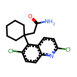 NC(=O)CC1(c2c(Cl)ccc3nc(Cl)ccc23)CCCCC1